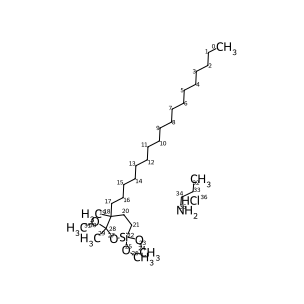 CCCCCCCCCCCCCCCCCCC1(C)CC[Si](OC)(OC)OC1(C)OC.CCCN.Cl